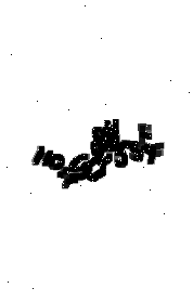 O=C(CSC(F)F)NC1Cc2ccc(F)c(C(=O)O)c2OB1O